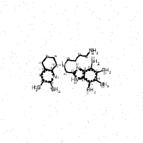 Bc1cc2c(nc1B)[C@@H](N(CCCCN)Cc1nc3c(B)c(B)c(B)c(B)c3[nH]1)CCC2